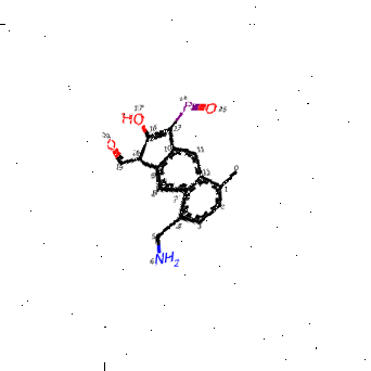 Cc1ccc(CN)c2cc3c(cc12)C(P=O)=C(O)C3C=O